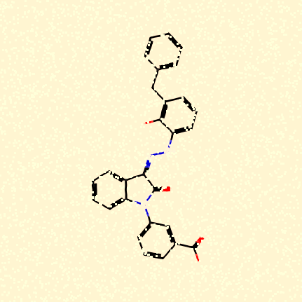 O=C(O)c1cccc(N2C(=O)/C(=N\Nc3cccc(Cc4ccccc4)c3O)c3ccccc32)c1